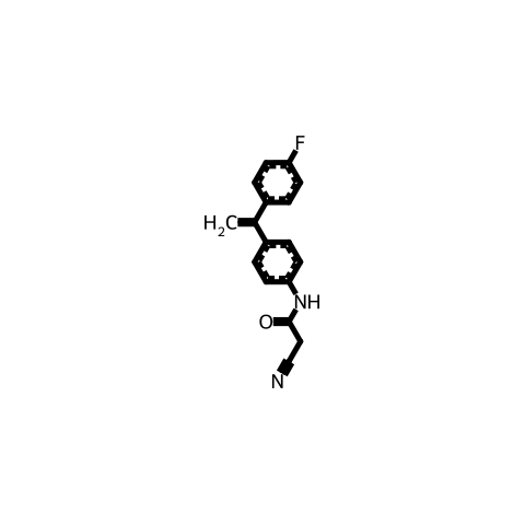 C=C(c1ccc(F)cc1)c1ccc(NC(=O)CC#N)cc1